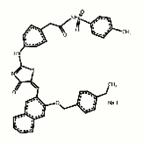 CCc1ccc(COc2cc3ccccc3cc2/C=C2/SC(Nc3ccc(CC(=O)NS(=O)(=O)c4ccc(C)cc4)cc3)=NC2=O)cc1.[NaH]